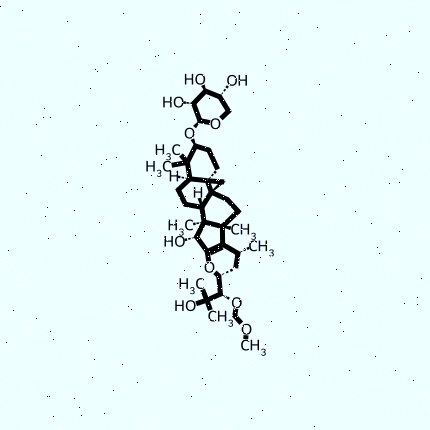 COCO[C@@H]([C@H]1C[C@@H](C)C2=C(O1)[C@H](O)[C@@]1(C)[C@@H]3CC[C@H]4C(C)(C)[C@@H](O[C@@H]5OC[C@@H](O)[C@H](O)[C@H]5O)CC[C@@]45C[C@@]35CC[C@]21C)C(C)(C)O